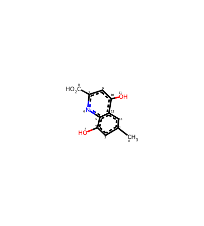 Cc1cc(O)c2nc(C(=O)O)cc(O)c2c1